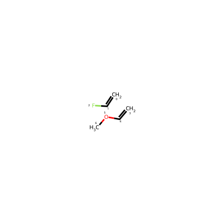 C=CF.C=COC